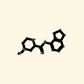 CC(C)N1CCOC(C(=O)Oc2cccc3c2CCC3)C1